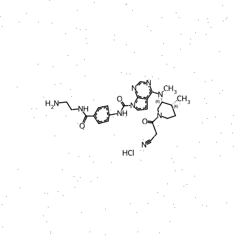 C[C@@H]1CCN(C(=O)CC#N)C[C@@H]1N(C)c1ncnc2c1ccn2C(=O)Nc1ccc(C(=O)NCCN)cc1.Cl